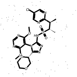 COc1ncnc(OC)c1-n1c(NS(=O)(=O)[C@@H](C)[C@H](C)c2ncc(Cl)cn2)nnc1[C@@H]1COCCO1